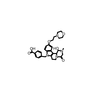 CN1CC(=O)N2CCc3c(c4cc(OCCN5CCOCC5)ccc4n3Cc3ccc(C(=O)O)cc3)C2C1O